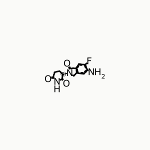 Nc1cc2c(cc1F)C(=O)N([C@@H]1CCC(=O)NC1=O)C2